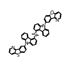 C[Si](C)(c1cccc2c1c1ccccc1n2-c1ccc2oc3cccnc3c2c1)c1cccc2c1c1ccccc1n2-c1ccc2sc3cccnc3c2c1